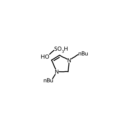 CCCCN1C=CN(CCCC)C1.O=S(=O)(O)O